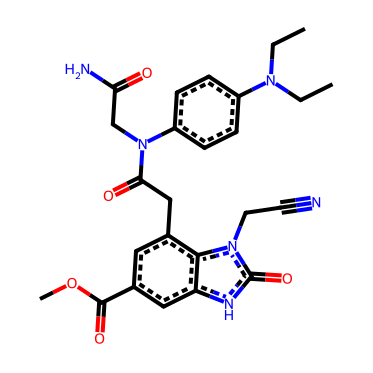 CCN(CC)c1ccc(N(CC(N)=O)C(=O)Cc2cc(C(=O)OC)cc3[nH]c(=O)n(CC#N)c23)cc1